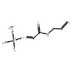 C=CCOC(=O)C=C.F[B-](F)(F)F.[H+]